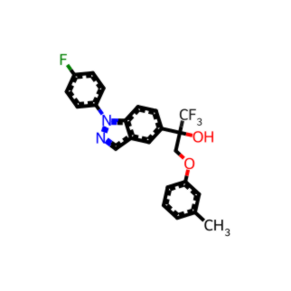 Cc1cccc(OCC(O)(c2ccc3c(cnn3-c3ccc(F)cc3)c2)C(F)(F)F)c1